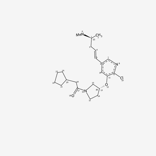 CN[C@@H](C)CC=Cc1cnc(Cl)c(O[C@@H]2CCN(C(=O)CC3CCCC3)C2)c1